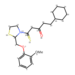 COc1ccccc1OCC1SCCN1C(=S)CC(=O)CCC1CCCCC1